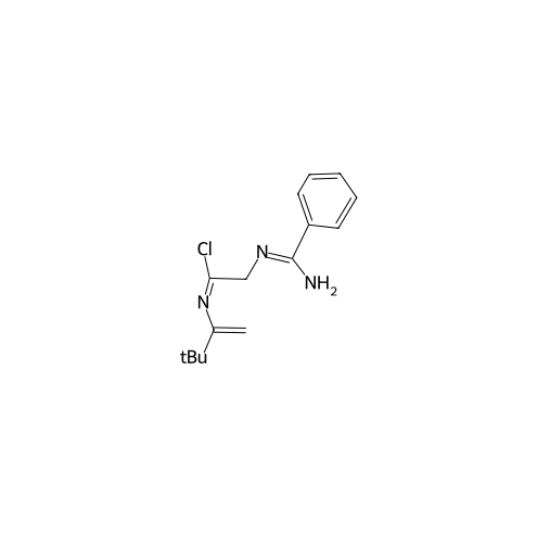 C=C(/N=C(/Cl)C/N=C(\N)c1ccccc1)C(C)(C)C